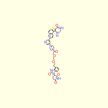 C[C@@H]1CNc2c(sc3ccc4nc(-c5cncc(N6CCN(C(=O)COCCOCCc7cccc8c7n(C)c(=O)n8C7CCC(=O)NC7=O)CC6)c5)ccc4c23)C(=O)N1